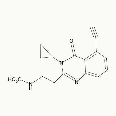 C#Cc1cccc2nc(CCNC(=O)O)n(C3CC3)c(=O)c12